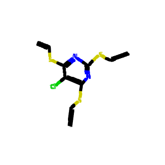 C=CSc1nc(SC=C)c(Cl)c(SC=C)n1